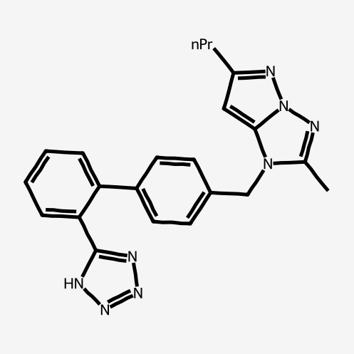 CCCc1cc2n(Cc3ccc(-c4ccccc4-c4nnn[nH]4)cc3)c(C)nn2n1